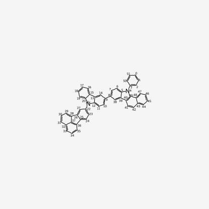 c1ccc(-n2c3ccc(-c4ccc5c(c4)c4ccccc4n5-c4ccc5c(c4)-c4cccc6cccc-5c46)cc3c3ccc4ccccc4c32)cc1